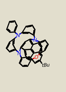 CC(C)(C)c1cc2ccc3c4cc(c5ccc(c1)c2c35)N1c2cccc(c2)Oc2cccc(c2)N4c2cccc(c2)N(c2ccccc2)c2cccc1c2